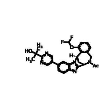 CC(=O)N1Cc2cccc(OC(F)F)c2[C@H]2CC1c1nc3ccc(-c4cnc(C(C)(C)O)nc4)cc3n12